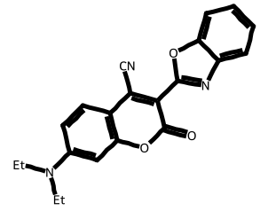 CCN(CC)c1ccc2c(C#N)c(-c3nc4ccccc4o3)c(=O)oc2c1